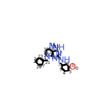 COc1cccc(CNc2nc3c4c(n[nH]c4n2)CCN3Cc2ccccc2)c1